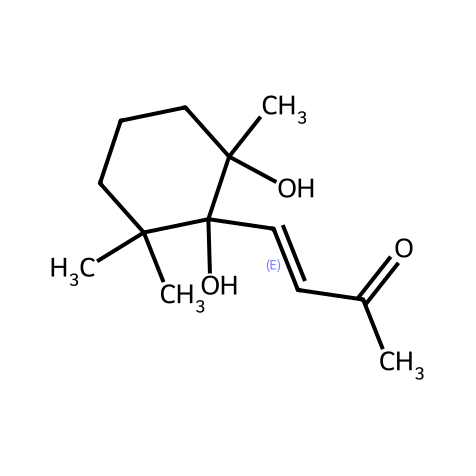 CC(=O)/C=C/C1(O)C(C)(C)CCCC1(C)O